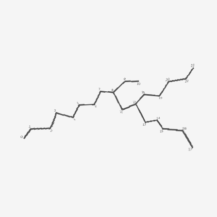 CCCCCCCCC(CC)CC(CCCCC)CCCCC